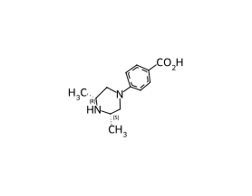 C[C@@H]1CN(c2ccc(C(=O)O)cc2)C[C@H](C)N1